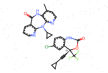 Cc1ccnc2c1NC(=O)c1cccnc1N2C1CC1.O=C1Nc2ccc(Cl)cc2[C@@](C#CC2CC2)(C(F)(F)F)O1